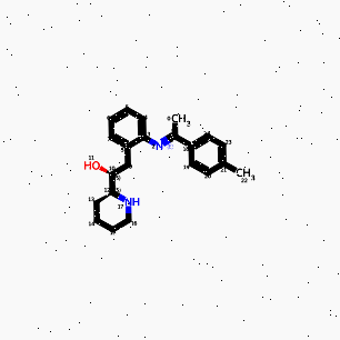 C/C(=N\c1ccccc1C[C@H](O)[C@@H]1CCCCN1)c1ccc(C)cc1